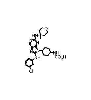 CC1(Nc2ncc3nc(Nc4cccc(Cl)c4)n(C4CCC(NC(=O)O)CC4)c3n2)CCOCC1